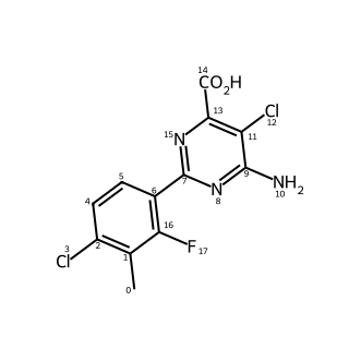 Cc1c(Cl)ccc(-c2nc(N)c(Cl)c(C(=O)O)n2)c1F